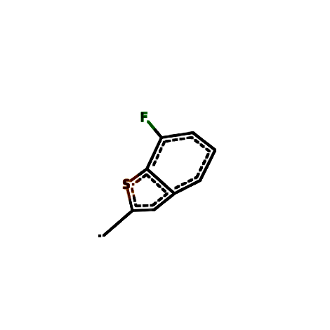 [CH2]c1cc2cccc(F)c2s1